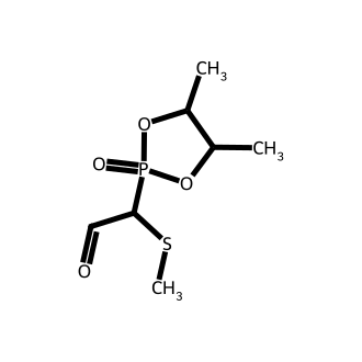 CSC(C=O)P1(=O)OC(C)C(C)O1